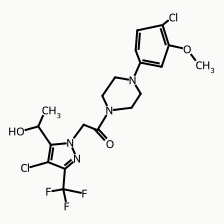 COc1cc(N2CCN(C(=O)Cn3nc(C(F)(F)F)c(Cl)c3C(C)O)CC2)ccc1Cl